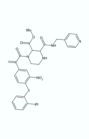 C=C(C(=O)N1CCNC(C(=O)NCc2ccncc2)C1C(=O)OC(C)(C)C)c1ccc(Sc2ccccc2C(C)C)c([N+](=O)[O-])c1